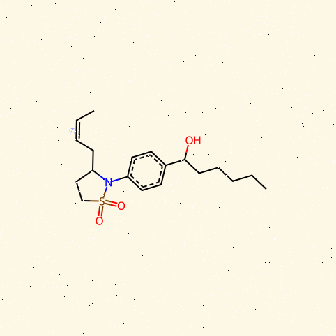 C/C=C\CC1CCS(=O)(=O)N1c1ccc(C(O)CCCCC)cc1